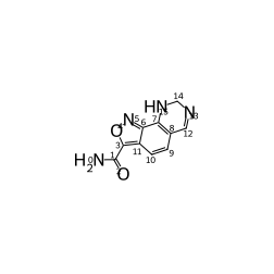 NC(=O)c1onc2c3c(ccc12)C=NCN3